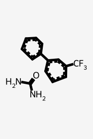 FC(F)(F)c1cccc(-c2ccccc2)c1.NC(N)=O